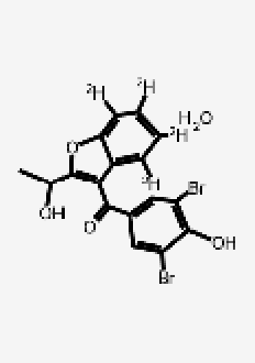 O.[2H]c1c([2H])c([2H])c2c(C(=O)c3cc(Br)c(O)c(Br)c3)c(C(C)O)oc2c1[2H]